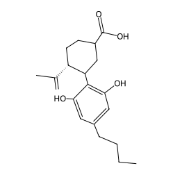 C=C(C)[C@@H]1CCC(C(=O)O)CC1c1c(O)cc(CCCC)cc1O